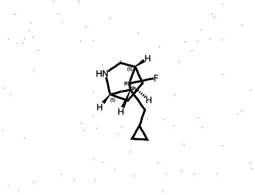 F[C@H]1[C@H](CC2CC2)[C@@H]2CC[C@H]1[CH]N2